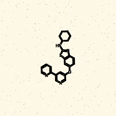 c1ccc(-c2cncc(Oc3ccc4nc(NC5CCCCC5)sc4c3)c2)nc1